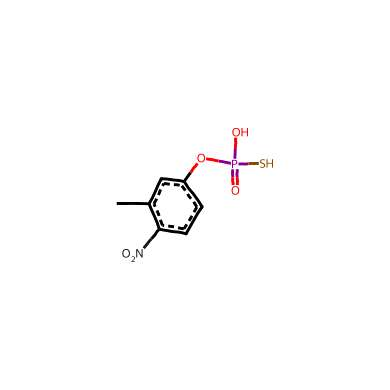 Cc1cc(OP(=O)(O)S)ccc1[N+](=O)[O-]